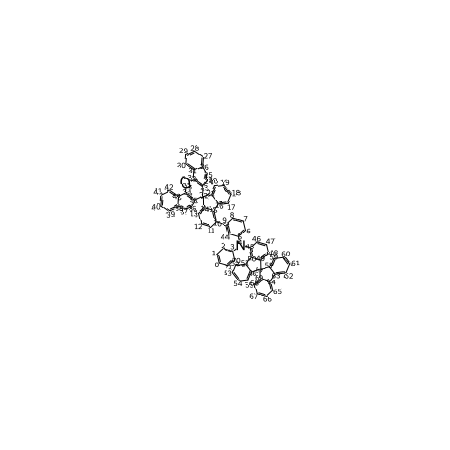 c1ccc(N(c2cccc(-c3cccc4c3-c3ccccc3C43c4ccc5ccccc5c4Oc4c3ccc3ccccc43)c2)c2cccc3c2-c2ccccc2C32c3ccccc3-c3ccccc32)cc1